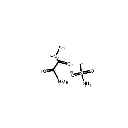 CNC(=O)C(=O)NS.CS(N)(=O)=O